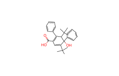 CC(C)(C)C1=CC(C(=O)O)=C(c2ccccc2)C(C(C)(C)C)C1(O)c1ccccc1